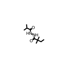 CCC(C)(C)C(=O)NNC(=O)C(C)C